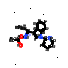 CCCCCC/C(=N\OC(=O)CC)c1cn(-c2ccccn2)c2ccccc12